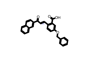 O=C(/C=C/c1ccc(OCc2ccccc2)cc1C(=O)O)c1ccc2ccccc2c1